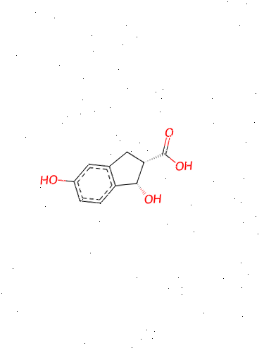 O=C(O)[C@H]1Cc2cc(O)ccc2[C@H]1O